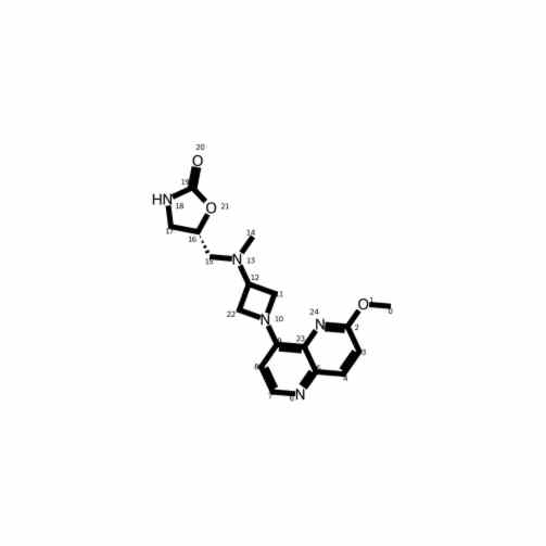 COc1ccc2nccc(N3CC(N(C)C[C@@H]4CNC(=O)O4)C3)c2n1